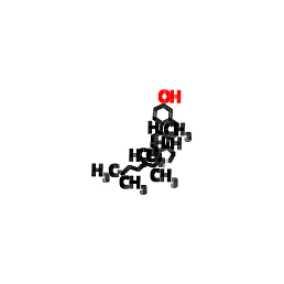 C=C(CCC(C)C)[C@@H](C)[C@H]1CC[C@H]2[C@@H]3CC=C4C[C@@H](O)CC[C@]4(C)[C@H]3CC[C@]12C